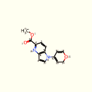 COC(=O)c1ccc2c(ccn2C2=CCOC=C2)n1